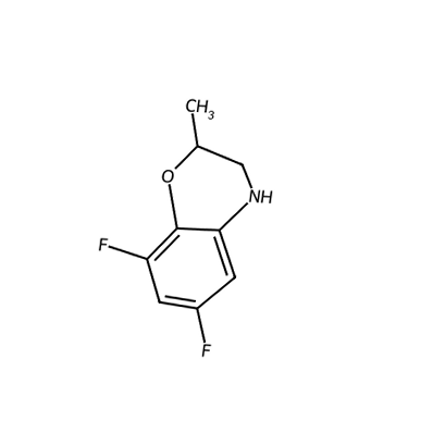 CC1CNc2cc(F)cc(F)c2O1